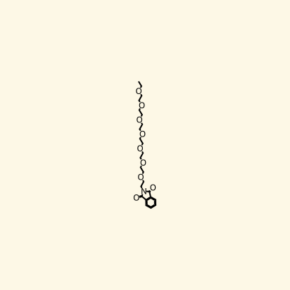 CCOCCOCCOCCOCCOCCOCCOCCN1C(=O)c2ccccc2C1=O